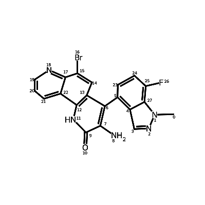 Cn1ncc2c(-c3c(N)c(=O)[nH]c4c3cc(Br)c3ncccc34)ccc(F)c21